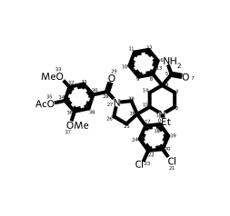 CCN1CCC(C(N)=O)(c2ccccc2)CC1C1(c2ccc(Cl)c(Cl)c2)CCN(C(=O)c2cc(OC)c(OC(C)=O)c(OC)c2)C1